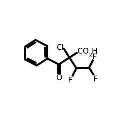 O=C(O)C(Cl)(C(=O)c1ccccc1)C(F)C(F)F